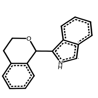 [c]1[nH]c(C2OCCc3ccccc32)c2ccccc12